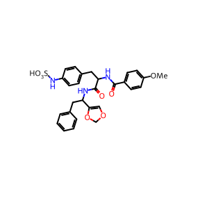 COc1ccc(C(=O)NC(Cc2ccc(NS(=O)(=O)O)cc2)C(=O)NC(Cc2ccccc2)C2=COCO2)cc1